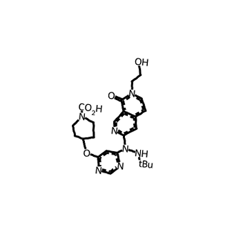 CC(C)(C)NN(c1cc(OC2CCN(C(=O)O)CC2)ncn1)c1cc2ccn(CCO)c(=O)c2cn1